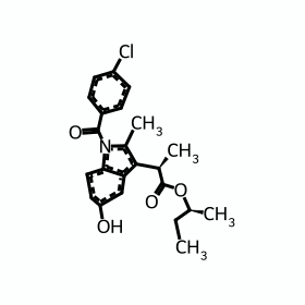 CC[C@H](C)OC(=O)[C@H](C)c1c(C)n(C(=O)c2ccc(Cl)cc2)c2ccc(O)cc12